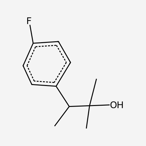 CC(c1ccc(F)cc1)C(C)(C)O